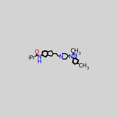 Cc1ccc2c(c1)nc(C)n2C1CCN(CCC2Cc3ccc(NC(=O)C(C)C)cc3C2)CC1